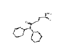 NC(=O)CCC(=O)N(C1CCCCC1)C1CCCCC1